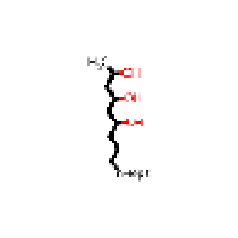 CCCCCCCCCCC(O)CC(O)CC(C)O